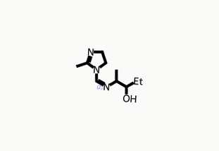 CCC(O)C(C)/N=C\N1CCN=C1C